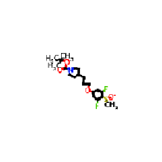 C[S+]([O-])c1c(F)cc(OCCCC2CCN(C(=O)OC(C)(C)C)CC2)cc1F